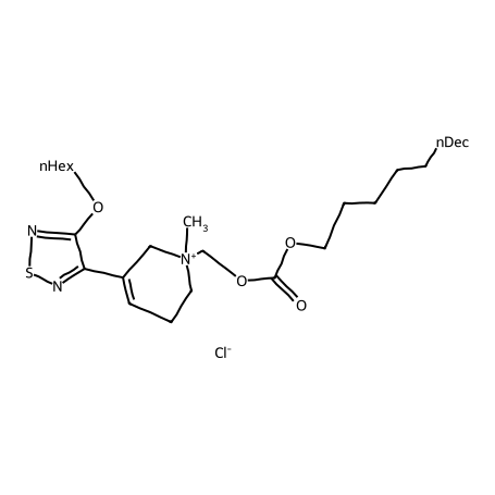 CCCCCCCCCCCCCCCOC(=O)OC[N+]1(C)CCC=C(c2nsnc2OCCCCCC)C1.[Cl-]